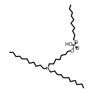 CCCCCCCCCCCN(CCCCCCCCCCC)CCCCCCCOP(=O)(O)OCCCCCCCCCC